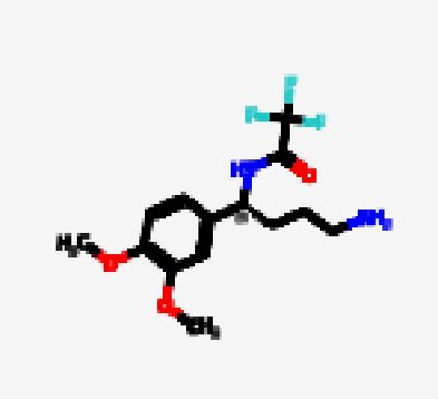 COc1ccc([C@@H](CCCN)NC(=O)C(F)(F)F)cc1OC